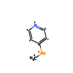 CPc1ccncc1